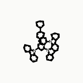 c1ccc(-c2ccc(-c3cc(-n4c5ccccc5c5ccccc54)cc(-n4c5ccccc5c5ccc6c7ccccc7n(-c7ccccc7)c6c54)n3)cc2)cc1